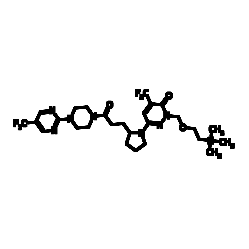 C[Si](C)(C)CCOCn1nc(N2CCCC2CCC(=O)N2CCN(c3ncc(C(F)(F)F)cn3)CC2)cc(C(F)(F)F)c1=O